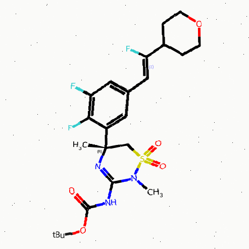 CN1C(NC(=O)OC(C)(C)C)=N[C@](C)(c2cc(/C=C(\F)C3CCOCC3)cc(F)c2F)CS1(=O)=O